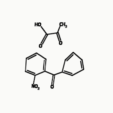 CC(=O)C(=O)O.O=C(c1ccccc1)c1ccccc1[N+](=O)[O-]